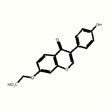 O=C(O)COc1ccc2c(=O)c(-c3ccc(O)cc3)coc2c1